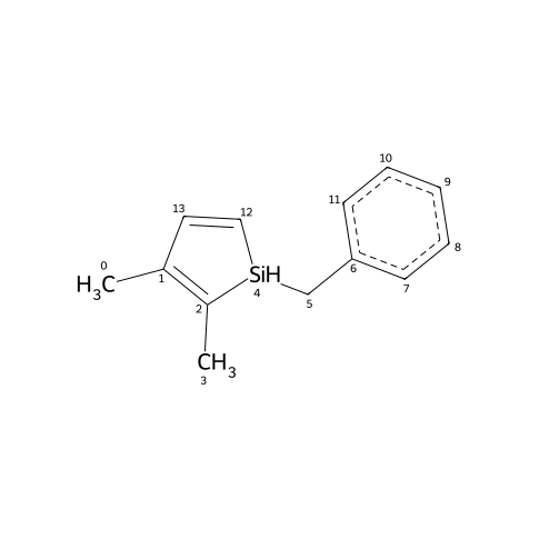 CC1=C(C)[SiH](Cc2ccccc2)C=C1